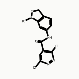 O=C(Nc1ccc2c(c1)B(O)OC2)c1cc(Cl)nnc1Cl